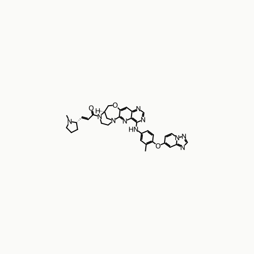 Cc1cc(Nc2ncnc3cc4c(nc23)N2CCN(C(=O)/C=C/[C@@H]3CCCN3C)[C@@H](CO4)C2)ccc1Oc1ccn2ncnc2c1